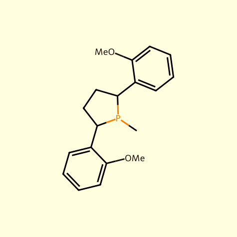 COc1ccccc1C1CCC(c2ccccc2OC)P1C